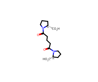 O=C(O)[C@H]1CCCN1C(=O)CCCC(=O)N1CCC[C@@H]1C(=O)O